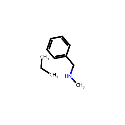 CCC.CNCc1ccccc1